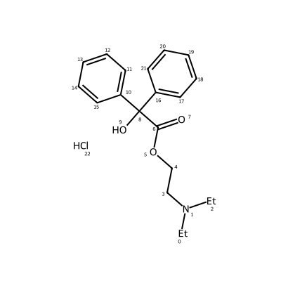 CCN(CC)CCOC(=O)C(O)(c1ccccc1)c1ccccc1.Cl